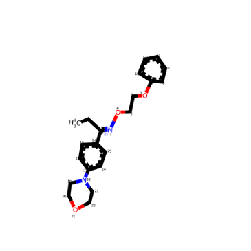 CC/C(=N\OCCOc1c[c]ccc1)c1ccc(N2CCOCC2)cc1